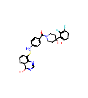 O=C(c1ccc(NSc2cccc3c(O)ncnc23)cc1)N1CCC(O)(c2cccc(F)c2F)CC1